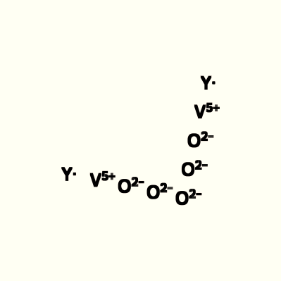 [O-2].[O-2].[O-2].[O-2].[O-2].[V+5].[V+5].[Y].[Y]